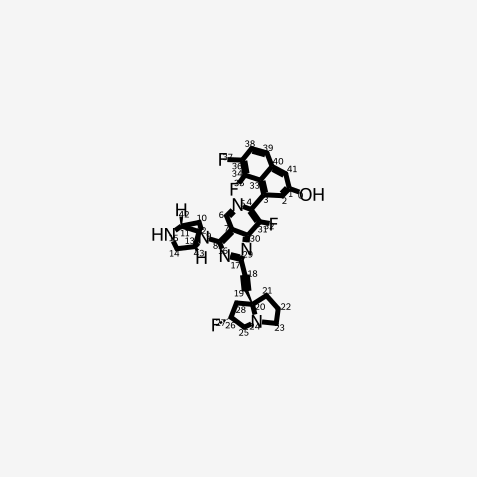 Oc1cc(-c2ncc3c(N4C[C@@H]5C[C@H]4CN5)nc(C#C[C@@]45CCCN4C[C@H](F)C5)nc3c2F)c2c(F)c(F)ccc2c1